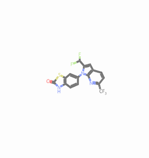 O=c1[nH]c2ccc(-n3c(C(F)F)cc4ccc(C(F)(F)F)nc43)cc2s1